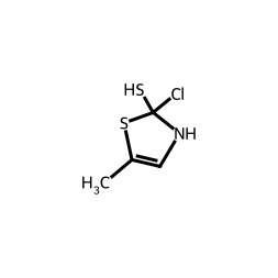 CC1=CNC(S)(Cl)S1